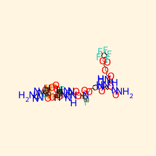 CC(C)[C@H](NC(=O)CCOCCC(=O)Oc1c(F)c(F)c(F)c(F)c1F)C(=O)N[C@@H](CCCNC(N)=O)C(=O)Nc1ccc(COC(=O)N2C[C@@H](F)C[C@H]2COC(=O)Nc2ncnc3c2ncn3[C@@H]2O[C@@H]3CO[PH](=O)[C@@]4(C)[C@@H](CO[PH](=O)O[C@H]3[C@H]2F)O[C@@H](n2cnc3c(N)ncnc32)[C@@H]4F)cc1